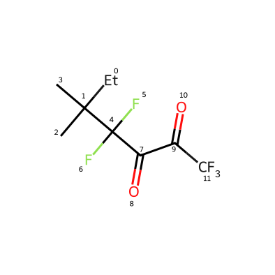 CCC(C)(C)C(F)(F)C(=O)C(=O)C(F)(F)F